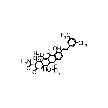 C[C@H]1c2ccc(/C=C/c3cc(C(F)(F)F)cc(C(F)(F)F)c3)c(O)c2C(=O)C2=C(O)[C@]3(O)C(O)C(C(N)=O)C(=O)C[C@@H]3[C@@H](O)[C@@H]21